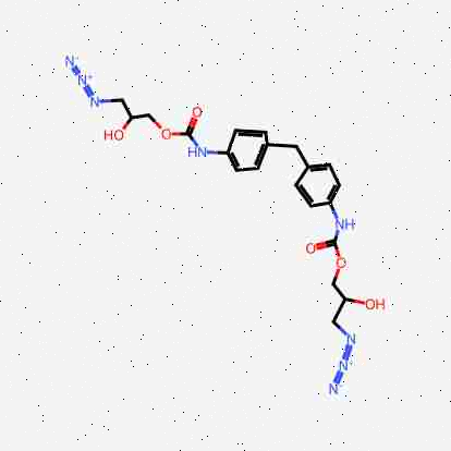 [N-]=[N+]=NCC(O)COC(=O)Nc1ccc(Cc2ccc(NC(=O)OCC(O)CN=[N+]=[N-])cc2)cc1